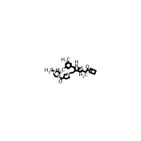 C=C(C(=O)N1C2CCC1CC2)c1cc2c(CCN3CCC(C(=O)N4CCN(C)CC4)C3)c(-c3cc(C)cc(C)c3)[nH]c2s1